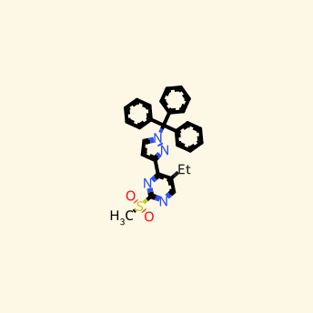 CCc1cnc(S(C)(=O)=O)nc1-c1ccn(C(c2ccccc2)(c2ccccc2)c2ccccc2)n1